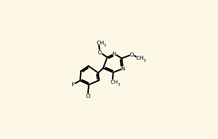 COc1nc(C)c(-c2ccc(F)c(Cl)c2)c(OC)n1